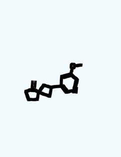 COc1cncc(C2CC3(CCCN3)C2)c1